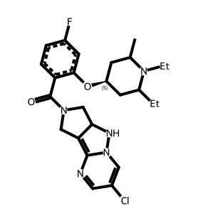 CCC1C[C@@H](Oc2cc(F)ccc2C(=O)N2CC3=C4N=CC(Cl)=CN4NC3C2)CC(C)N1CC